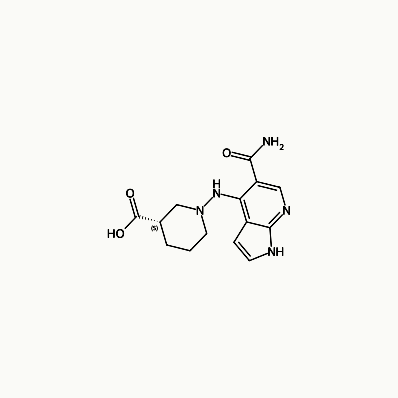 NC(=O)c1cnc2[nH]ccc2c1NN1CCC[C@H](C(=O)O)C1